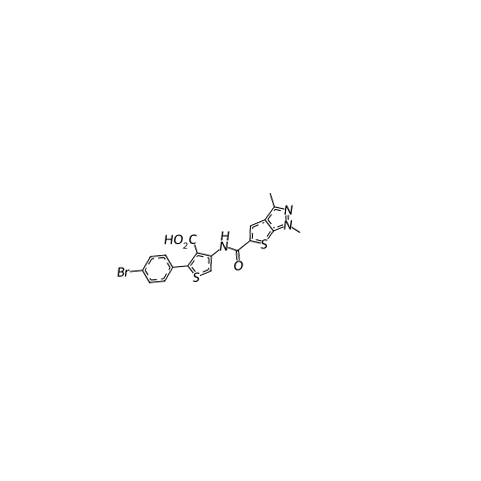 Cc1nn(C)c2sc(C(=O)Nc3csc(-c4ccc(Br)cc4)c3C(=O)O)cc12